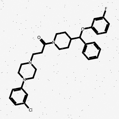 O=C(CCN1CCN(c2cccc(Cl)c2)CC1)N1CCC(C(Oc2cccc(F)c2)c2ccccc2)CC1